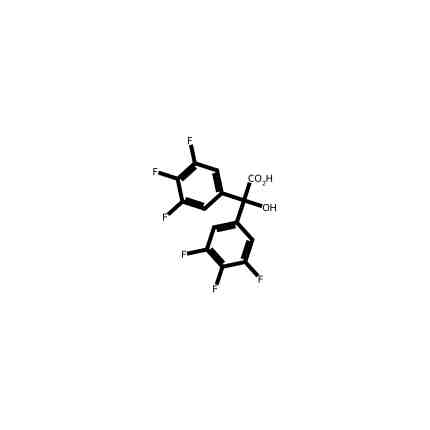 O=C(O)C(O)(c1cc(F)c(F)c(F)c1)c1cc(F)c(F)c(F)c1